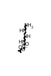 CC(C)C(=O)O[C@@H](C)OC(=O)NCCNCCNCCN